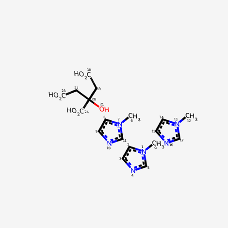 Cn1ccnc1.Cn1ccnc1.Cn1ccnc1.O=C(O)CC(O)(CC(=O)O)C(=O)O